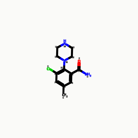 NC(=O)c1cc(C(F)(F)F)cc(Cl)c1N1CCNCC1